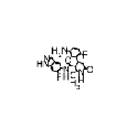 CC1=C(C(=O)Nc2cc3cn[nH]c3cc2F)C(c2cc(N)ccc2F)CC(=O)N1